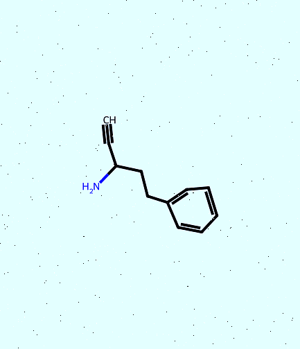 C#CC(N)CCc1ccccc1